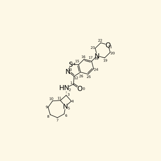 O=C(N[C@@H]1CN2CCCCCC12)c1nsc2cc(N3CCOCC3)ccc12